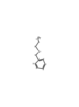 CC(C)CCSCc1ccccc1